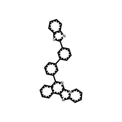 c1cc(-c2cccc(-c3nc4c(nc5ccccn54)c4ccccc34)c2)cc(-c2nc3ccccc3s2)c1